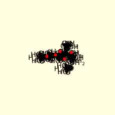 CCc1c(-c2cc(-c3ccc4c(C(=O)O)c(N)c(C(=O)O)c-4cc3)cc(-c3c(CC)c(CC)c4c(C(=O)O)c(N)c(C(=O)O)c-4c(CC)c3CC)c2)ccc2c(C(=O)O)c(N)c(C(=O)O)c-2c1CC.Nc1c(C(=O)O)c2cccccc-2c1C(=O)O.Nc1c(C(=O)O)c2cccccc-2c1C(=O)O.Nc1c(C(=O)O)c2cccccc-2c1C(=O)O